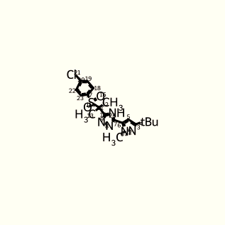 Cn1nc(C(C)(C)C)cc1-c1nnc(C(C)(C)S(=O)(=O)c2ccc(Cl)cc2)[nH]1